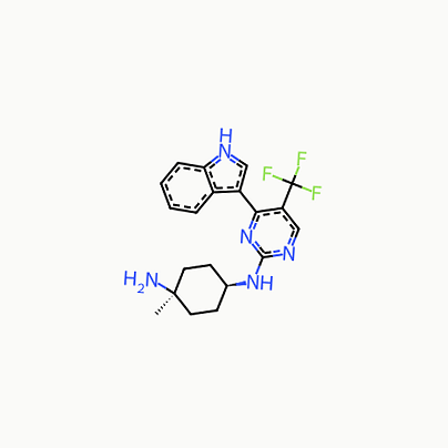 C[C@]1(N)CC[C@@H](Nc2ncc(C(F)(F)F)c(-c3c[nH]c4ccccc34)n2)CC1